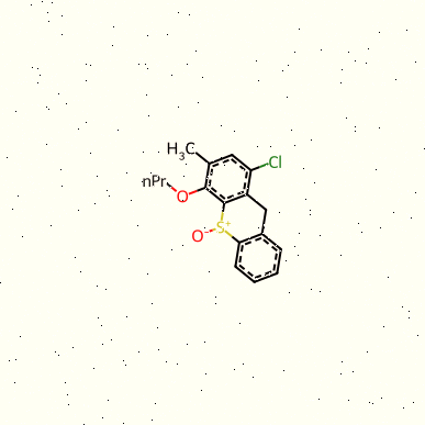 CCCOc1c(C)cc(Cl)c2c1[S+]([O-])c1ccccc1C2